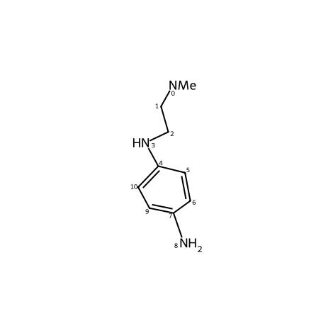 CNCCNc1ccc(N)cc1